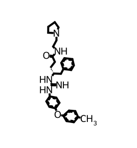 Cc1ccc(Oc2ccc(NC(=N)N[C@H](CCC(=O)NCCN3CCCC3)Cc3ccccc3)cc2)cc1